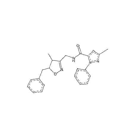 Cc1cc(C(=O)NCC2=NOC(Cc3ccccc3)C2C)n(-c2ccccc2)n1